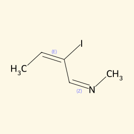 C/C=C(I)\C=N/C